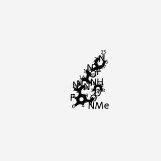 CNC(=O)c1cc(C)c(F)c(-c2cnn3cc(-c4cnc(C5(F)CCN(C)CC5)o4)c(NC4CCOC4)nc23)c1